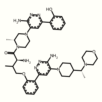 CC(COc1ccccc1-c1cc(N2CCC([C@@H](C)N3CCOCC3)CC2)c(N)nn1)[C@H](N)C(=O)N1CCN(c2cc(-c3ccccc3O)nnc2N)C[C@H]1C